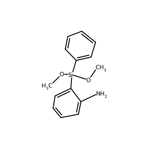 CO[Si](OC)(c1ccccc1)c1ccccc1N